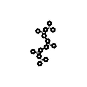 C1=CC2C(C=C1c1ccc3c(c1)c1cc(-c4ccc5c(c4)c4cc(N(c6ccccc6)c6ccccc6)ccc4n5-c4ccccc4)ccc1n3-c1ccccc1)c1cc(N(c3ccccc3)c3ccccc3)ccc1N2c1ccccc1